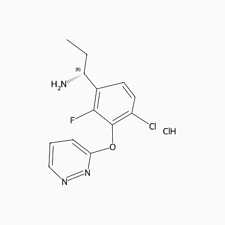 CC[C@@H](N)c1ccc(Cl)c(Oc2cccnn2)c1F.Cl